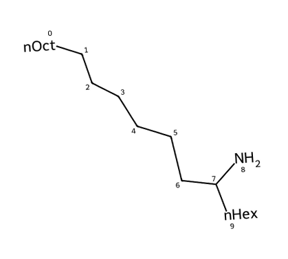 CCCCCCCCCCCCCCC(N)CCCCCC